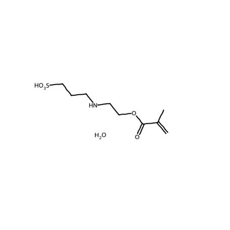 C=C(C)C(=O)OCCNCCCS(=O)(=O)O.O